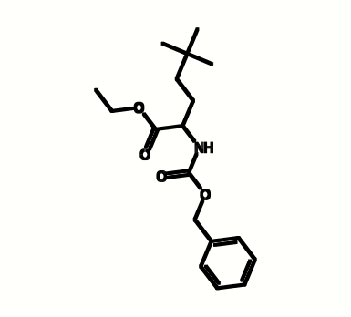 CCOC(=O)C(CCC(C)(C)C)NC(=O)OCc1ccccc1